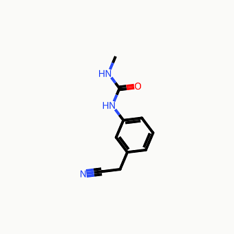 CNC(=O)Nc1cccc(CC#N)c1